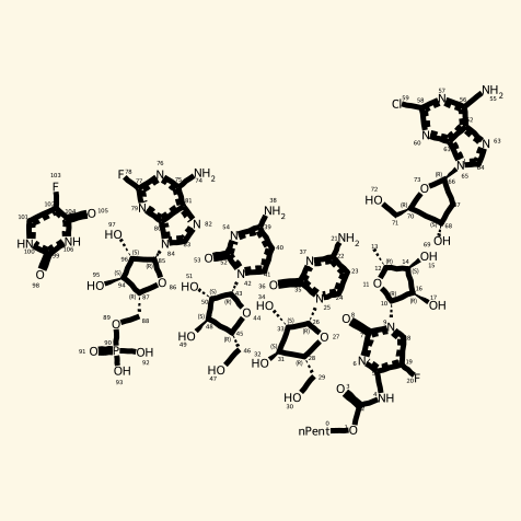 CCCCCOC(=O)Nc1nc(=O)n([C@@H]2O[C@H](C)[C@@H](O)[C@H]2O)cc1F.Nc1ccn([C@@H]2O[C@H](CO)[C@@H](O)[C@@H]2O)c(=O)n1.Nc1ccn([C@@H]2O[C@H](CO)[C@@H](O)[C@@H]2O)c(=O)n1.Nc1nc(Cl)nc2c1ncn2[C@H]1C[C@H](O)[C@@H](CO)O1.Nc1nc(F)nc2c1ncn2[C@@H]1O[C@H](COP(=O)(O)O)[C@@H](O)[C@@H]1O.O=c1[nH]cc(F)c(=O)[nH]1